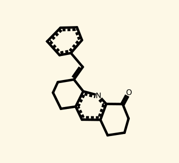 O=C1CCCc2cc3c(nc21)C(=Cc1ccccc1)CCC3